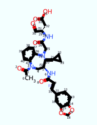 CC(=O)N1C[C@H](NC(=O)/C=C/c2ccc3c(c2)OCO3)C(=C2CC2)N(CC(=O)N[C@H](C=O)CC(=O)O)c2ccccc21